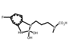 CN(CCCN1c2ccc(F)cc2NS1(O)O)C(=O)O